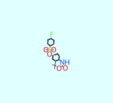 CC1(C)OC(=O)Nc2ccc(OS(=O)(=O)c3ccc(F)cc3)cc21